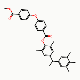 COC(=O)c1ccc(Oc2ccc(C(=O)Oc3c(C)cc(C(C)c4cc(C)c(C)c(C)c4)cc3C)cc2)cc1